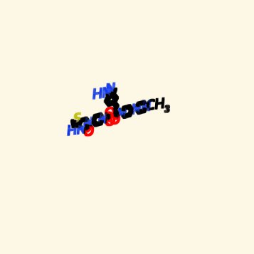 CN1CCN(C2CCN(C(=O)C(Cc3ccc4[nH]ncc4c3)OC(=O)N3CCC(N4Cc5sccc5NC4=O)CC3)CC2)CC1